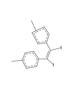 Cc1ccc(/C(I)=C(/I)c2ccc(C)cc2)cc1